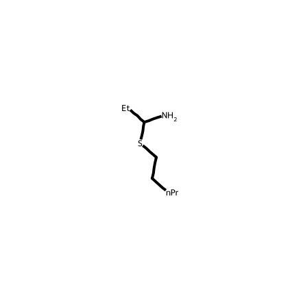 CCCCCSC(N)CC